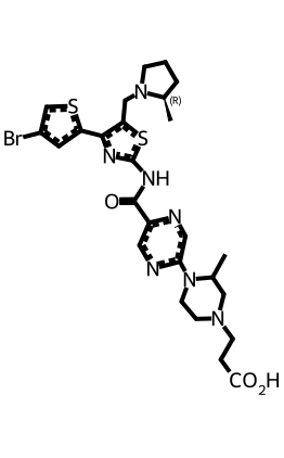 CC1CN(CCC(=O)O)CCN1c1cnc(C(=O)Nc2nc(-c3cc(Br)cs3)c(CN3CCC[C@H]3C)s2)cn1